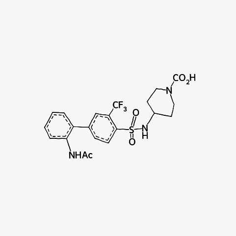 CC(=O)Nc1ccccc1-c1ccc(S(=O)(=O)NC2CCN(C(=O)O)CC2)c(C(F)(F)F)c1